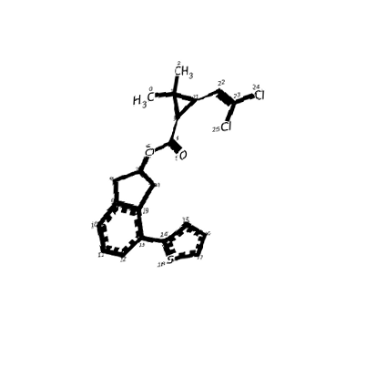 CC1(C)[C@H](C(=O)OC2Cc3cccc(-c4cccs4)c3C2)[C@@H]1C=C(Cl)Cl